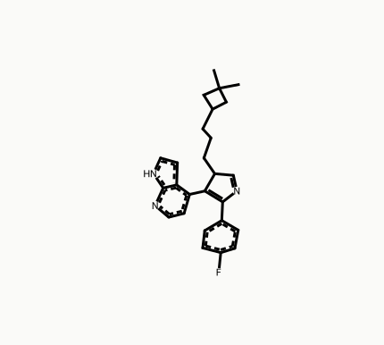 CC1(C)CC(CCCC2C=NC(c3ccc(F)cc3)=C2c2ccnc3[nH]ccc23)C1